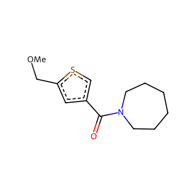 COCc1cc(C(=O)N2CCCCCC2)cs1